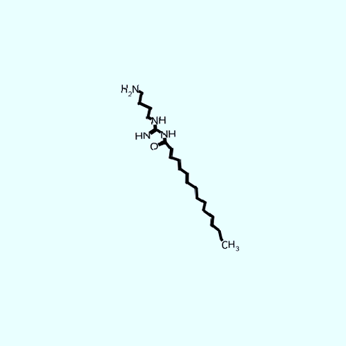 CCCCCCCCCCCCCCCC(=O)NC(=N)NCCCCN